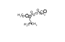 COc1ccc2c(c1)c(CCN(C)C)cn2C(=O)OCOC(=O)[C@@H](N)Cc1ccccc1